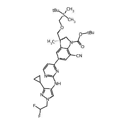 CC(C)(C)OC(=O)N1C[C@](C)(COCS(C)(C)C(C)(C)C)c2cc(-c3ccnc(Nc4cn(CC(F)F)nc4C4CC4)n3)cc(C#N)c21